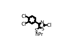 CCCSc1sc(Cl)nc1-c1ccc(Cl)c(Cl)c1